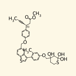 CC#C[C@@H](CC(=O)OC)c1ccc(OCc2ccc3scc(-c4ccc(OCC5(O)CCSC(O)(O)C5)cc4C)c3c2)cc1